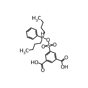 CCCC[PH](CCCC)(OS(=O)(=O)c1cc(C(=O)O)cc(C(=O)O)c1)c1ccccc1